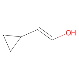 OC=CC1CC1